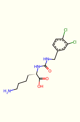 NCCCC[C@H](NC(=O)NCc1ccc(Cl)c(Cl)c1)C(=O)O